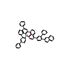 c1ccc(-c2ccc(N(c3ccc(-c4ccc(-c5ccc6ccccc6c5)c(-c5ccccc5)c4)cc3)c3ccc(-c4ccccc4)cc3-c3ccccc3)c(-c3ccccc3)c2)cc1